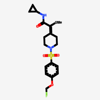 COC(C(=O)NC1CC1)=C1CCN(S(=O)(=O)c2ccc(OCF)cc2)CC1